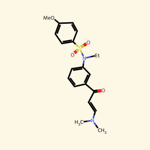 CCN(c1cccc(C(=O)C=CN(C)C)c1)S(=O)(=O)c1ccc(OC)cc1